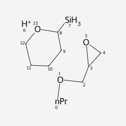 [CH2]CCOCC1CO1.[H+].[SiH3]C1CCCCO1